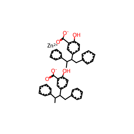 CC(c1ccccc1)C(Cc1ccccc1)c1ccc(O)c(C(=O)[O-])c1.CC(c1ccccc1)C(Cc1ccccc1)c1ccc(O)c(C(=O)[O-])c1.[Zn+2]